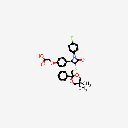 CC1(C)COC(CS[C@H]2C(=O)N(c3ccc(F)cc3)[C@@H]2c2ccc(OCC(=O)O)cc2)(c2ccccc2)OC1